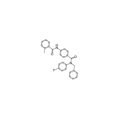 Cc1ccccc1C(=O)Nc1ccc(C(=O)N(Cc2ccccc2)c2ccc(F)cc2)cc1